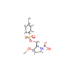 COC1CCN(C(=O)O)C1COS(=O)(=O)c1ccc(C)cc1